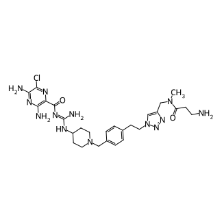 CN(Cc1cn(CCc2ccc(CN3CCC(N/C(N)=N/C(=O)c4nc(Cl)c(N)nc4N)CC3)cc2)nn1)C(=O)CCN